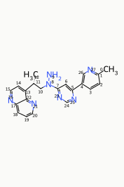 Cc1ccc(-c2cc(N(N)C[C@@H](C)c3ccnc4cccnc34)ncn2)cn1